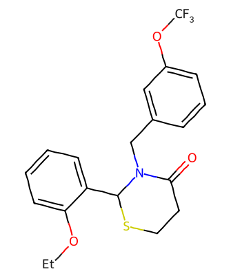 CCOc1ccccc1C1SCCC(=O)N1Cc1cccc(OC(F)(F)F)c1